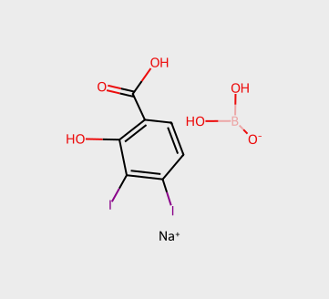 O=C(O)c1ccc(I)c(I)c1O.[Na+].[O-]B(O)O